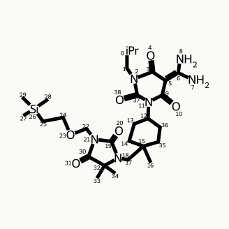 CC(C)CN1C(=O)C(=C(N)N)C(=O)N(C2CCC(C)(CN3C(=O)N(COCC[Si](C)(C)C)C(=O)C3(C)C)CC2)C1=O